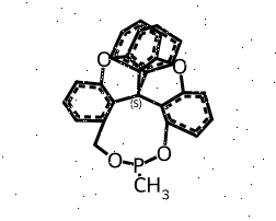 CP1OCc2cccc3c2[C@]2(c4ccccc4O3)c3ccccc3Oc3cccc(c32)O1